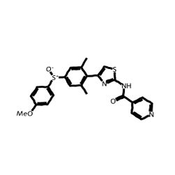 COc1ccc([S+]([O-])c2cc(C)c(-c3csc(NC(=O)c4ccncc4)n3)c(C)c2)cc1